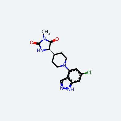 CN1C(=O)N[C@@H](C2CCN(c3cc(Cl)cc4[nH]ncc34)CC2)C1=O